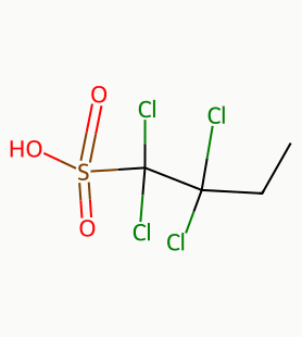 CCC(Cl)(Cl)C(Cl)(Cl)S(=O)(=O)O